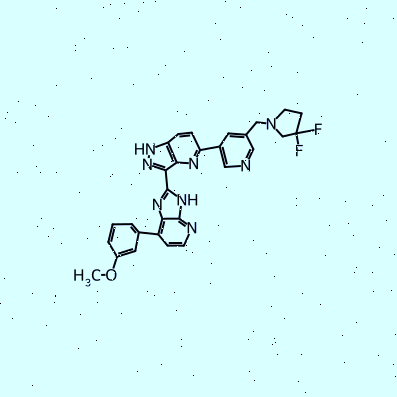 COc1cccc(-c2ccnc3[nH]c(-c4n[nH]c5ccc(-c6cncc(CN7CCC(F)(F)C7)c6)nc45)nc23)c1